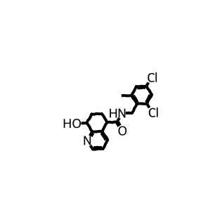 Cc1cc(Cl)cc(Cl)c1CNC(=O)C1CCC(O)c2ncccc21